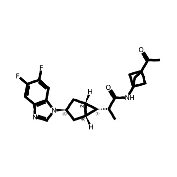 CC(=O)C12CC(NC(=O)C(C)[C@@H]3[C@@H]4C[C@@H](n5cnc6cc(F)c(F)cc65)C[C@@H]43)(C1)C2